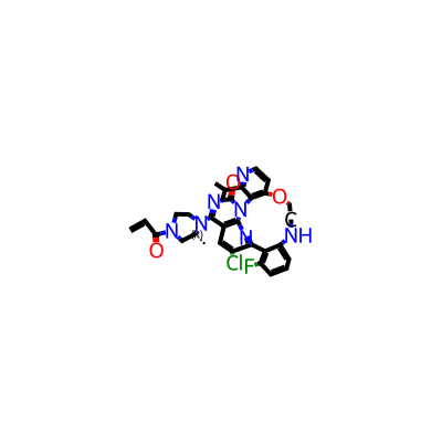 C=CC(=O)N1CCN(c2nc(=O)n3c4nc(c(Cl)cc24)-c2c(F)cccc2NCCOc2ccnc(C(C)C)c2-3)[C@H](C)C1